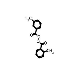 Cc1cccc(C(=O)OOC(=O)c2ccccc2C)c1